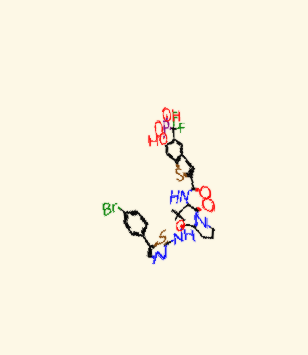 CC(C)(C)C(NC(=O)c1cc2cc(C(F)(F)P(=O)(O)O)ccc2s1)C(=O)N1CCCC1C(=O)Nc1ncc(-c2ccc(Br)cc2)s1